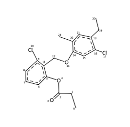 CCC(=O)Oc1cccc(Cl)c1COc1cc(Cl)c(CC)cc1C